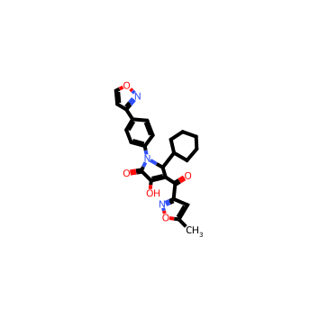 Cc1cc(C(=O)C2=C(O)C(=O)N(c3ccc(-c4ccon4)cc3)C2C2CCCCC2)no1